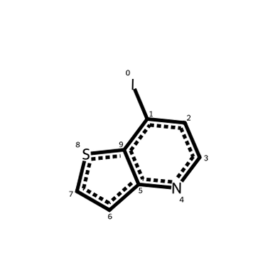 Ic1ccnc2ccsc12